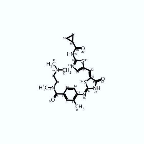 Cc1cc(C(=O)N(C)CCN(C)C)ccc1/N=C1/NC(=O)/C(=C/c2cnc(NC(=O)C3CC3)s2)S1